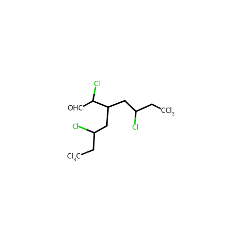 O=CC(Cl)C(CC(Cl)CC(Cl)(Cl)Cl)CC(Cl)CC(Cl)(Cl)Cl